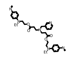 C=Nc1ccc(N(CC)CCOC(=O)CCN(CCC(=O)OCCN(CC)c2ccc(N=C)cc2)Cc2cccnc2)cc1